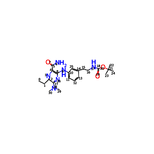 CCc1nc(C(N)=O)c(Nc2cccc(CCNC(=O)OC(C)(C)C)c2)nc1N(C)C